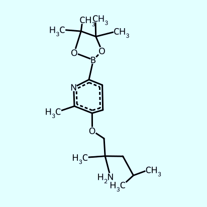 Cc1nc(B2OC(C)(C)C(C)(C)O2)ccc1OCC(C)(N)CC(C)C